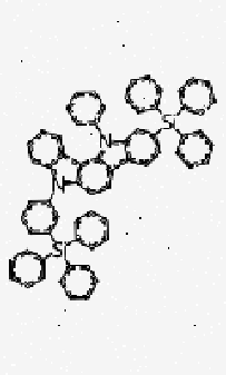 c1ccc(-n2c3cc([Si](c4ccccc4)(c4ccccc4)c4ccccc4)ccc3c3ccc4c(c5ccccc5n4-c4cccc([Si](c5ccccc5)(c5ccccc5)c5ccccc5)c4)c32)cc1